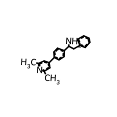 Cc1cc(-c2ccc(C(N)Cc3ccccc3)cc2)cc(C)n1